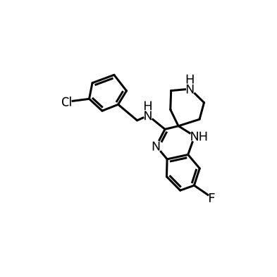 Fc1ccc2c(c1)NC1(CCNCC1)C(NCc1cccc(Cl)c1)=N2